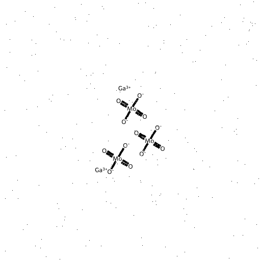 [Ga+3].[Ga+3].[O]=[Mo](=[O])([O-])[O-].[O]=[Mo](=[O])([O-])[O-].[O]=[Mo](=[O])([O-])[O-]